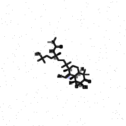 CCCC(C)(C)CC[C@@](C)(CCC(C)(C)[C@]1(C)CC[C@H]2C(C)(C)C(=O)[C@]3(C#N)O[C@@H]3[C@]2(C)/C1=C/C(C)=O)NC(=O)N(C)C